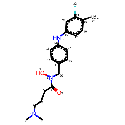 CN(C)CCCC(=O)N(O)Cc1ccc(Nc2ccc(C(C)(C)C)c(F)c2)cc1